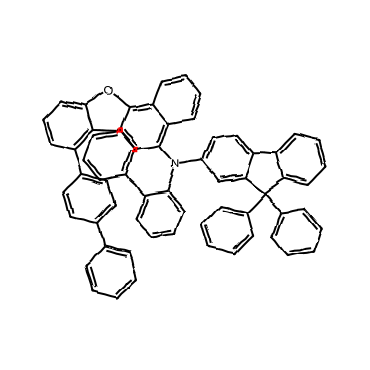 c1ccc(-c2ccc(-c3cccc4oc5c6ccccc6c(N(c6ccc7c(c6)C(c6ccccc6)(c6ccccc6)c6ccccc6-7)c6ccccc6-c6ccccc6)cc5c34)cc2)cc1